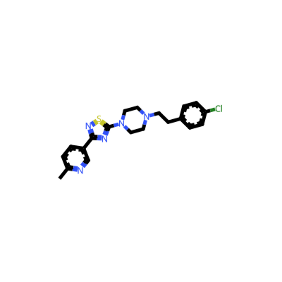 Cc1ccc(-c2nsc(N3CCN(CCc4ccc(Cl)cc4)CC3)n2)cn1